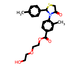 Cc1ccc(C2SCC(=O)N2c2ccc(C(=O)OCCOCCO)cc2C)cc1